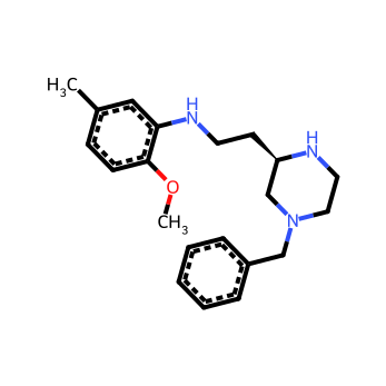 COc1ccc(C)cc1NCC[C@@H]1CN(Cc2ccccc2)CCN1